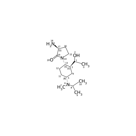 CC(O)[C@H]1C[C@H](N(C)C(C)C)CC[C@@H]1N1CC[C@H](N)C1=O